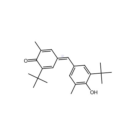 CC1=C/C(=C/c2cc(C)c(O)c(C(C)(C)C)c2)C=C(C(C)(C)C)C1=O